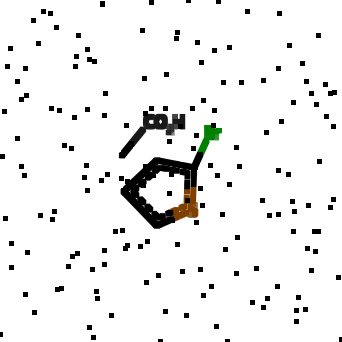 Brc1cccs1.CC(=O)O